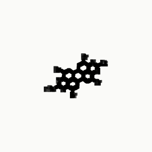 CCCCc1nc2c3c4c(cc(Br)c3n1)-c1cc(Br)c3nc(CC)nc5c3c1C(C=C5Br)C4C=C2Br